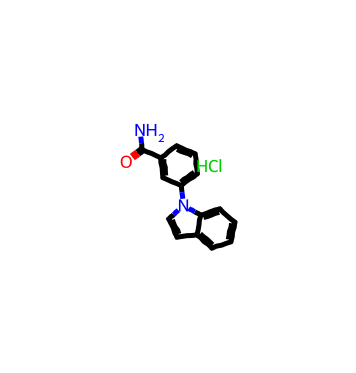 Cl.NC(=O)c1cccc(-n2ccc3ccccc32)c1